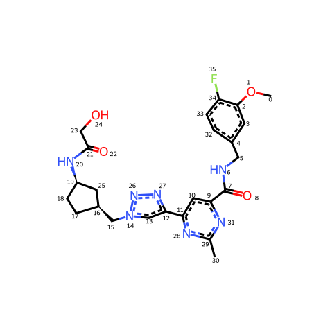 COc1cc(CNC(=O)c2cc(-c3cn(C[C@H]4CC[C@@H](NC(=O)CO)C4)nn3)nc(C)n2)ccc1F